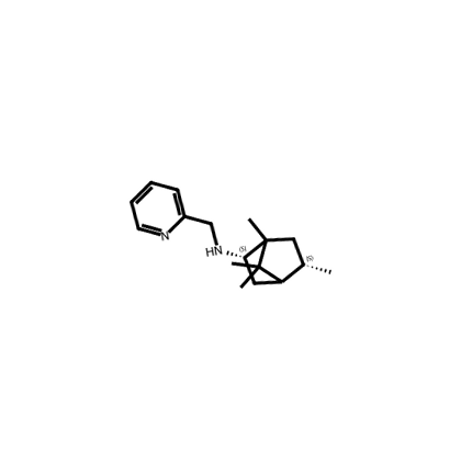 C[C@H]1CC2(C)[C@@H](NCc3ccccn3)CC1C2(C)C